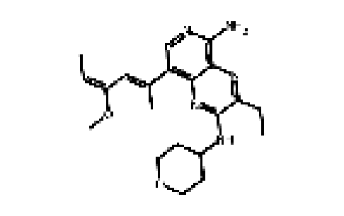 C/C=C(\C=C(/C)c1cnc(N)c2nc(CC)c(NC3CCOCC3)nc12)OC